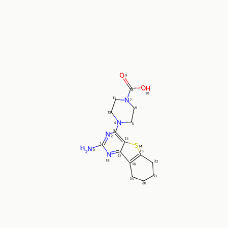 Nc1nc(N2CCN(C(=O)O)CC2)c2sc3c(c2n1)CCCC3